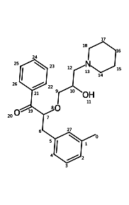 Cc1cccc(CC(OCC(O)CN2CCCCC2)C(=O)c2ccccc2)c1